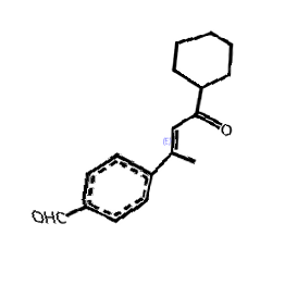 C/C(=C\C(=O)C1CCCCC1)c1ccc(C=O)cc1